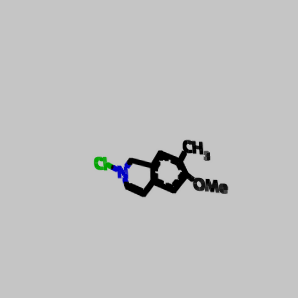 COc1cc2c(cc1C)CN(Cl)C=C2